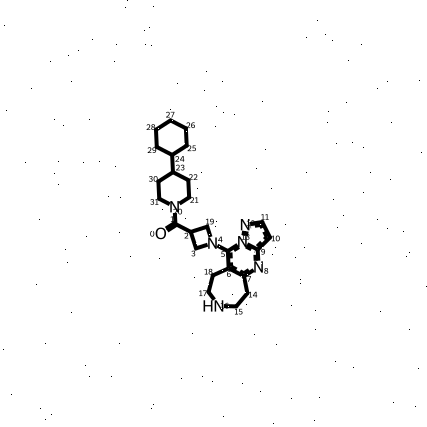 O=C(C1CN(c2c3c(nc4ccnn24)CCNCC3)C1)N1CCC(C2CCCCC2)CC1